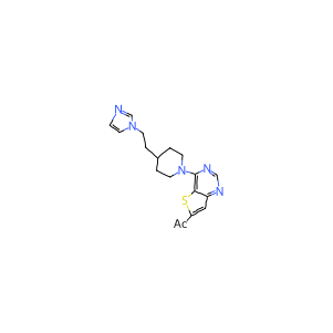 CC(=O)c1cc2ncnc(N3CCC(CCn4ccnc4)CC3)c2s1